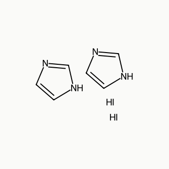 I.I.c1c[nH]cn1.c1c[nH]cn1